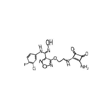 Nc1c(NCCOc2nonc2/C(=N/O)Nc2ccc(F)c(Cl)c2)c(=O)c1=O